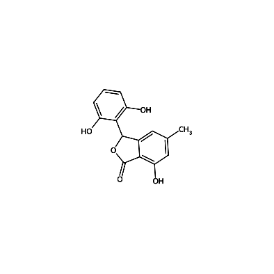 Cc1cc(O)c2c(c1)C(c1c(O)cccc1O)OC2=O